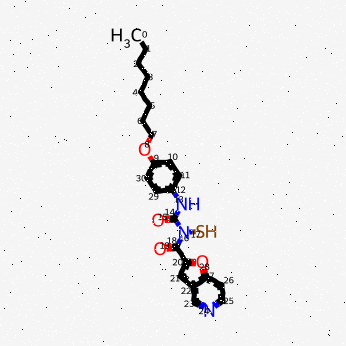 CCCCCCCCOc1ccc(NC(=O)N(S)C(=O)c2cc3cnccc3o2)cc1